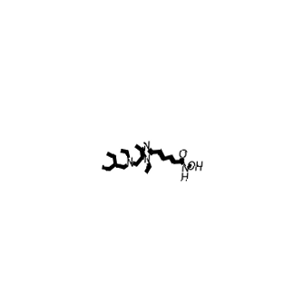 C=Cn1c(/C=C/C=C/C(=O)NO)nc(C)c1CN(CC)CC(CC)CC